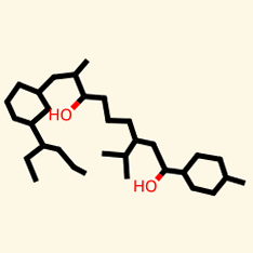 CCCC(CC)C1CCCC(CC(C)C(O)CCCC(CC(O)C2CCC(C)CC2)C(C)C)C1